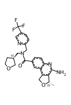 C[C@@H]1OCc2c1c(N)nc1ccc(C(=O)N(Cc3ccc(C(F)(F)F)cn3)C[C@@H]3CCOC3)cc21